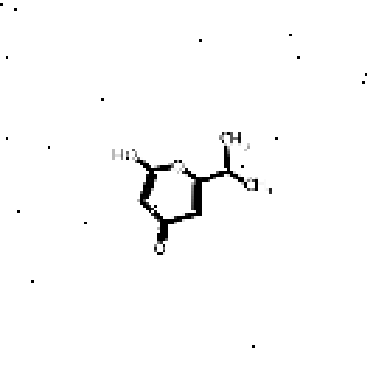 CC(C)c1cc(=O)cc(O)o1